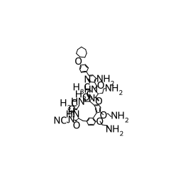 Cc1nc(-c2ccc(OC3CCCCCC3)cc2)cc(N)c1C(=O)N[C@@H](CCN)C(=O)N(C)[C@@H]1C(=O)N[C@@H](C)C(=O)N[C@H](C(=O)NCC#N)Cc2ccc(OCCN)c(c2)-c2cc1ccc2OCCN